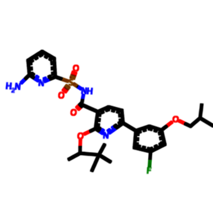 CC(C)COc1cc(F)cc(-c2ccc(C(=O)NS(=O)(=O)c3cccc(N)n3)c(OC(C)C(C)(C)C)n2)c1